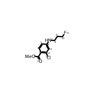 COC(=O)c1ccc(NCCCF)cc1Cl